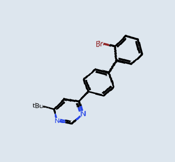 CC(C)(C)c1cc(-c2ccc(-c3ccccc3Br)cc2)ncn1